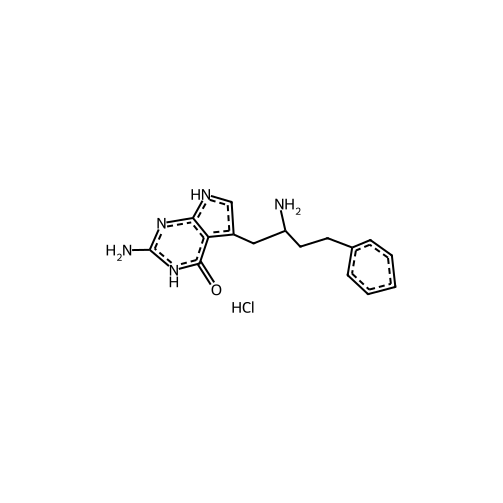 Cl.Nc1nc2[nH]cc(CC(N)CCc3ccccc3)c2c(=O)[nH]1